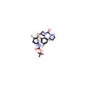 CC(C)(C)OC(=O)Nc1ccc(F)c(OC2CN(C(=O)N3N=CC[C@H]3c3cc(F)cc(F)c3)C2)n1